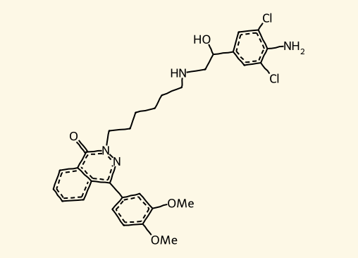 COc1ccc(-c2nn(CCCCCCNCC(O)c3cc(Cl)c(N)c(Cl)c3)c(=O)c3ccccc23)cc1OC